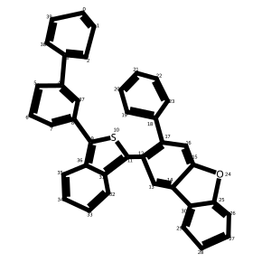 c1ccc(-c2cccc(-c3sc(-c4cc5c(cc4-c4ccccc4)oc4ccccc45)c4ccccc34)c2)cc1